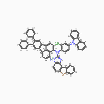 Clc1cc(-n2c3ccccc3c3ccccc32)ccc1N(c1nc2c(ccc3sc4ccccc4c32)[nH]1)c1ccc2c3c(ccc(Br)c13)-c1cc(-c3ccccc3)c(-c3ccccc3)cc1-2